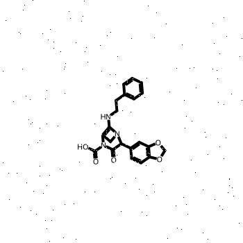 O=C(O)N1C(=O)C(c2ccc3c(c2)OCO3)N2CC1=C2NCCc1ccccc1